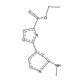 CCOC(=O)c1coc(-c2ccnc(NC)c2)n1